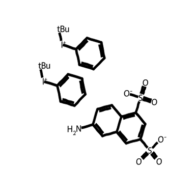 CC(C)(C)[I+]c1ccccc1.CC(C)(C)[I+]c1ccccc1.Nc1ccc2c(S(=O)(=O)[O-])cc(S(=O)(=O)[O-])cc2c1